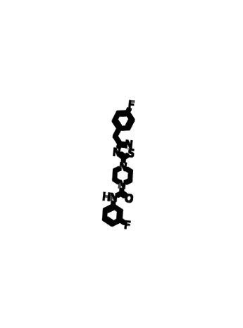 O=C(Nc1cccc(F)c1)N1CCN(c2nc(Cc3ccc(F)cc3)ns2)CC1